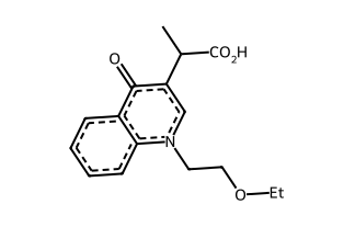 CCOCCn1cc(C(C)C(=O)O)c(=O)c2ccccc21